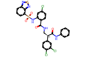 O=C(NC[C@@H](C(=O)Nc1ccccc1)c1ccc(Cl)c(Cl)c1)c1ccc(Cl)cc1NS(=O)(=O)c1cccc2nsnc12